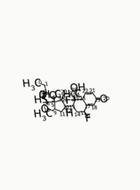 CCC(=O)O[C@]1(C(=O)S)[C@H](C)C[C@H]2C3C[C@H](F)C4=CC(=O)C=C[C@]4(C)[C@@]3(F)[C@@H](O)C[C@@]21C